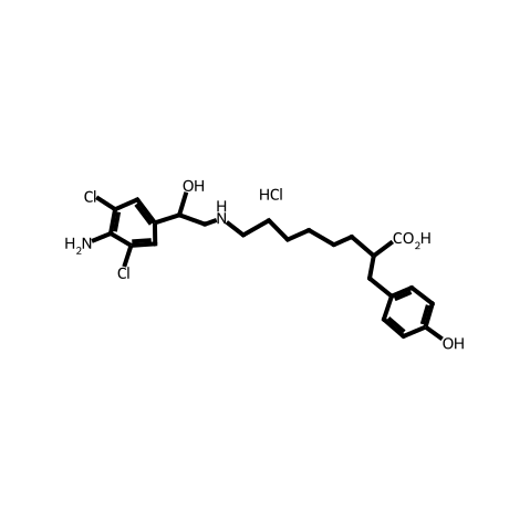 Cl.Nc1c(Cl)cc(C(O)CNCCCCCCC(Cc2ccc(O)cc2)C(=O)O)cc1Cl